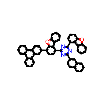 c1ccc2cc(-c3nc(-c4cccc5oc6ccccc6c45)nc(-c4ccc(-c5ccc6c7ccccc7c7ccccc7c6c5)c5oc6ccccc6c45)n3)ccc2c1